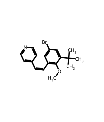 COc1c(/C=C\c2ccncc2)cc(Br)cc1C(C)(C)C